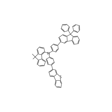 CC1(C)c2ccccc2-c2c(N(c3ccc(-c4ccc5c(c4)-c4ccccc4C5(c4ccccc4)c4ccccc4)cc3)c3ccc(-c4ccc5c(c4)sc4ccccc45)cc3)cccc21